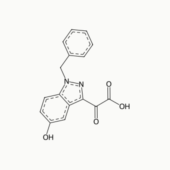 O=C(O)C(=O)c1nn(Cc2ccccc2)c2ccc(O)cc12